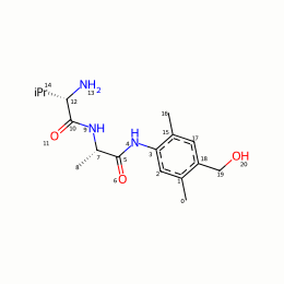 Cc1cc(NC(=O)[C@H](C)NC(=O)[C@@H](N)C(C)C)c(C)cc1CO